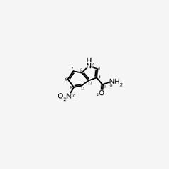 NC(=O)c1c[nH]c2ccc([N+](=O)[O-])cc12